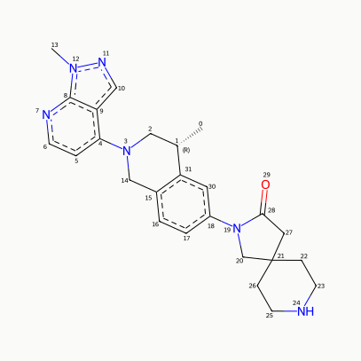 C[C@H]1CN(c2ccnc3c2cnn3C)Cc2ccc(N3CC4(CCNCC4)CC3=O)cc21